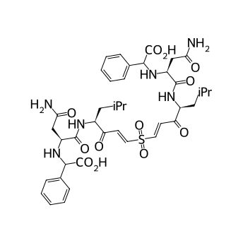 CC(C)C[C@H](NC(=O)[C@H](CC(N)=O)NC(C(=O)O)c1ccccc1)C(=O)C=CS(=O)(=O)C=CC(=O)[C@H](CC(C)C)NC(=O)[C@H](CC(N)=O)NC(C(=O)O)c1ccccc1